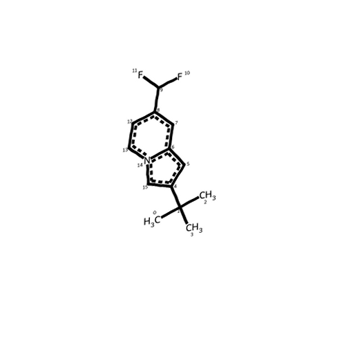 CC(C)(C)c1cc2cc(C(F)F)ccn2c1